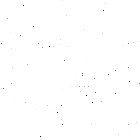 C[C@@H]1NC[C@@H](c2ccccc2)S(=O)(=O)C1Cc1ccc(C2(CCC(N)=O)CCOCC2)cc1F